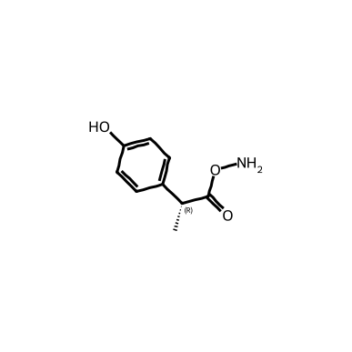 C[C@@H](C(=O)ON)c1ccc(O)cc1